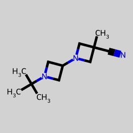 CC1(C#N)CN(C2CN(C(C)(C)C)C2)C1